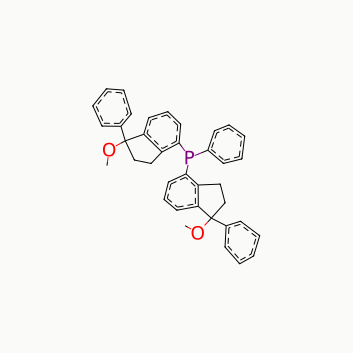 COC1(c2ccccc2)CCc2c(P(c3ccccc3)c3cccc4c3CCC4(OC)c3ccccc3)cccc21